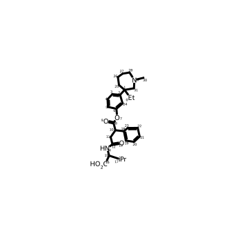 CCC1(c2cccc(OC(=O)C(CC(=O)NC(C(=O)O)C(C)C)c3ccccc3)c2)CCCCN(C)C1